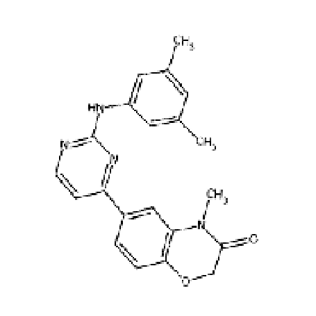 Cc1cc(C)cc(Nc2nccc(-c3ccc4c(c3)N(C)C(=O)CO4)n2)c1